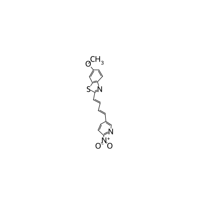 COc1ccc2nc(/C=C/C=C/c3ccc([N+](=O)[O-])nc3)sc2c1